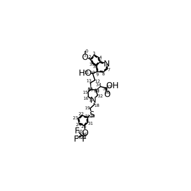 COc1ccc2nccc(C(O)CC[C@@H]3CCN(CCSc4cccc(OC(F)(F)F)c4)C[C@@H]3CC(=O)O)c2c1